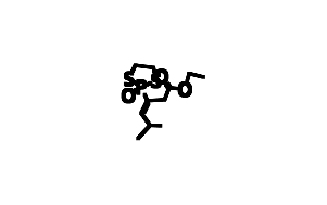 CCOC(=O)C/C(=C\C(C)C)P1(=O)SCCS1